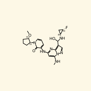 CNc1cc(Nc2cccn([C@H]3CCC[C@@H]3OC)c2=O)nc2c(C(O)N[C@@H]3C[C@@H]3F)cnn12